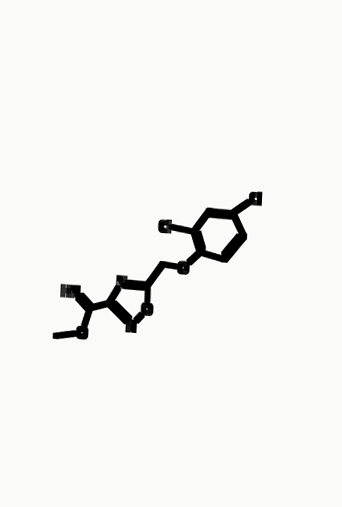 COC(=N)c1noc(COc2ccc(Cl)cc2Cl)n1